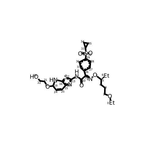 CCOCCC[C@H](CC)O/N=C(/C(=O)Nc1nc2c(s1)NC(OCCO)C=C2)c1ccc(S(=O)(=O)C2CC2)cc1